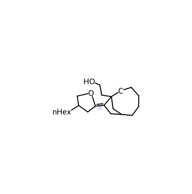 CCCCCCC1CO/C(=C2/CC3CCCCCC2(CCO)C3)C1